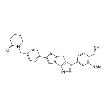 CNc1cc(-c2n[nH]c3c2Cc2sc(-c4ccc(CN5CCCCC5=O)cc4)cc2-3)ccc1C=N